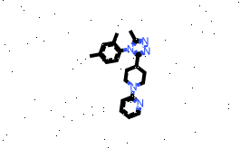 Cc1ccc(-n2c(C)nnc2C2CCN(c3ccccn3)CC2)c(C)c1